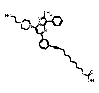 Cc1nn2c(N3CCN(CCO)CC3)cc(-c3cccc(C#CCCCCCCCNC(=O)O)c3)nc2c1-c1ccccc1